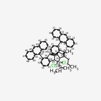 CCCC1=Cc2c(-c3c4ccccc4cc4ccccc34)cccc2[CH]1[Zr]([Cl])([Cl])([CH]1C(CCC)=Cc2c(-c3c4ccccc4cc4ccccc34)cccc21)[SiH](C)C